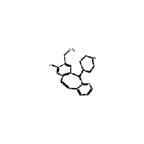 CCc1cc2c(cc1Cl)C=Cc1cccnc1C2C1CCNCC1